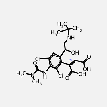 CN(C)C(=O)Nc1c(Cl)cc(C(O)CNC(C)(C)C)c(/C(=C/C(=O)O)C(=O)O)c1Cl